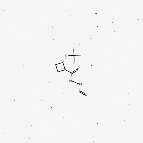 O=CNNC(=O)C1CC[C@@H]1OC(F)(F)F